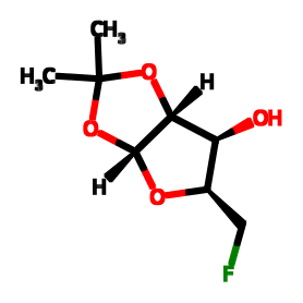 CC1(C)O[C@H]2O[C@H](CF)[C@H](O)[C@H]2O1